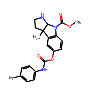 CC(C)c1ccc(NC(=O)Oc2ccc3c(c2)C2(C)CCNC2N3C(=O)OC(C)(C)C)cc1